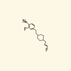 N#Cc1ccc(CCC2CCC(CC=CF)CC2)cc1F